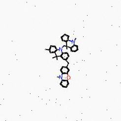 Cc1ccc2c(c1)C(C)(C)c1cc(Cc3ccc4c(c3)Oc3ccccc3N4C)ccc1N2CC1(C)c2ccccc2N(C)c2ccccc21